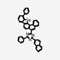 c1ccc(-c2nc(-c3ccc4ccccc4c3)nc(-c3cc4ccccc4c4c3ccc3c5cccc(-c6ccccc6)c5[se]c34)n2)cc1